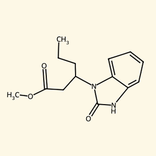 CCCC(CC(=O)OC)n1c(=O)[nH]c2ccccc21